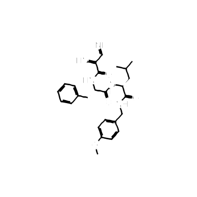 COc1ccc(CNC(=O)[C@H](CC(C)C)NC(=O)[C@H](Cc2ccccc2)NC(=O)C(=N)C=N)cc1